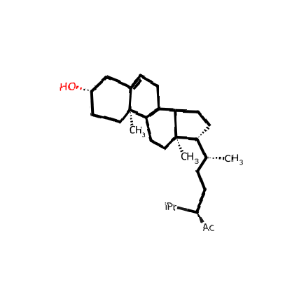 CC(=O)[C@H](CC[C@@H](C)[C@H]1CCC2C3CC=C4C[C@@H](O)CC[C@]4(C)C3CC[C@@]21C)C(C)C